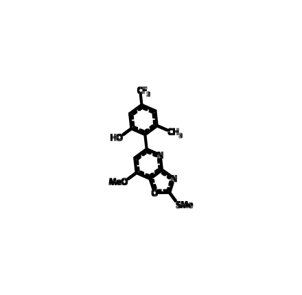 COc1cc(-c2c(C)cc(C(F)(F)F)cc2O)nc2nc(SC)oc12